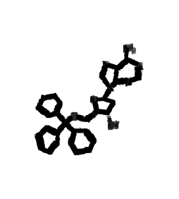 Nc1ncnc2c1ncn2[C@H]1C[C@H](O)[C@@H](COC(c2ccccc2)(c2ccccc2)c2ccccc2)O1